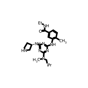 CCNC(=O)c1ccc(C)c(Nc2nc(N[C@H]3CCNC3)nc(N(C)CC(C)C)n2)c1